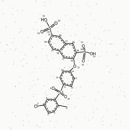 Cc1ccc(Cl)cc1S(=O)(=O)c1ccc(Oc2cc3ccc(S(=O)(=O)O)cc3cc2S(=O)(=O)O)cc1